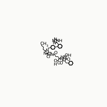 CCCCc1nc(Cl)c(CNC(=O)CC[C@@H](NC(=O)C(Cc2ccccc2)C(=O)NO)C(=O)O)n1Cc1ccc(-c2ccccc2-c2nnn[nH]2)cc1